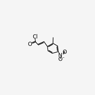 Cc1cc([N+](=O)[O-])ccc1C=CC(=O)Cl